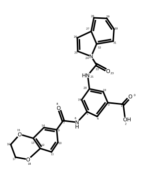 O=C(O)c1cc(NC(=O)c2ccc3c(c2)OCCO3)cc(NC(=O)n2ccc3ccccc32)c1